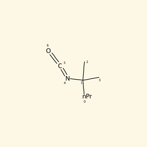 CCCC(C)(C)N=C=O